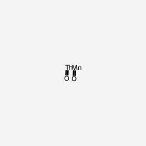 [O]=[Mn].[O]=[Th]